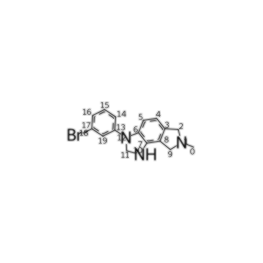 CN1Cc2ccc3c(c2C1)NCN3c1cccc(Br)c1